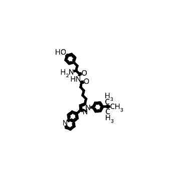 CC(C)(C)c1ccc(-n2nc(-c3ccc4ncccc4c3)cc2CCCCC(=O)NC(=O)C(N)Cc2ccc(O)cc2)cc1